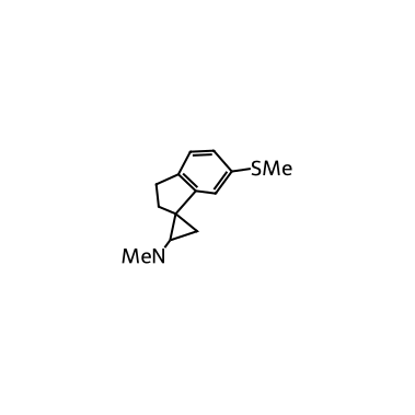 CNC1CC12CCc1ccc(SC)cc12